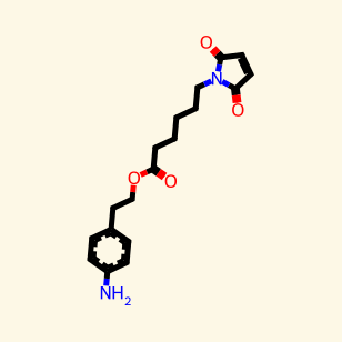 Nc1ccc(CCOC(=O)CCCCCN2C(=O)C=CC2=O)cc1